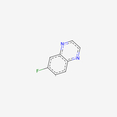 Fc1[c]cc2nccnc2c1